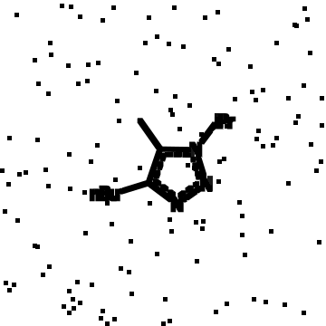 CCCCc1nnn(C(C)C)c1C